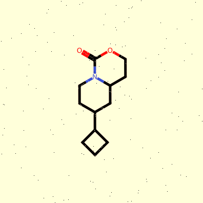 O=C1OCCC2CC(C3CCC3)CCN12